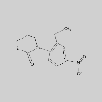 CCc1cc([N+](=O)[O-])ccc1N1CCCCC1=O